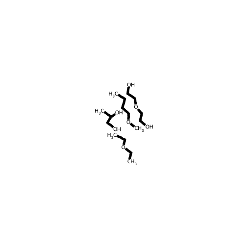 CC(O)CO.CCCCOC.CCOCC.OCCOCCO